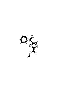 CCOC(=O)c1nnc(C(=O)c2ccccc2)o1